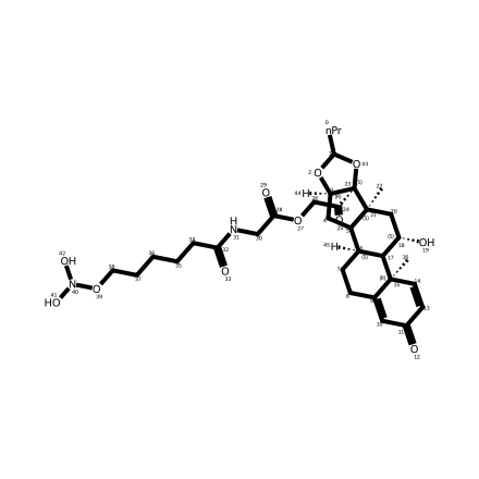 CCCC1O[C@@H]2CC3[C@@H]4CCC5=CC(=O)C=C[C@]5(C)C4[C@@H](O)C[C@]3(C)[C@]2(C(=O)COC(=O)CNC(=O)CCCCCON(O)O)O1